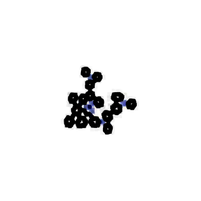 c1ccc(-c2cc(-c3ccccc3)c(-c3ccccc3)c(-c3cc(-c4cccc(-n5c6ccccc6c6cc(-c7ccc8c(c7)c7ccccc7n8-c7ccccc7)ccc65)c4)nc(-n4c5ccccc5c5cc(-c6ccc7c(c6)c6ccccc6n7-c6ccccc6)ccc54)n3)c2-c2ccccc2)cc1